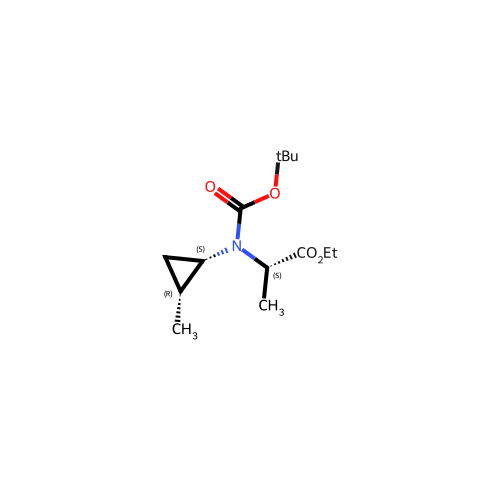 CCOC(=O)[C@H](C)N(C(=O)OC(C)(C)C)[C@H]1C[C@H]1C